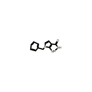 O=c1[nH]nnc2c1ccn2Cc1ccccc1